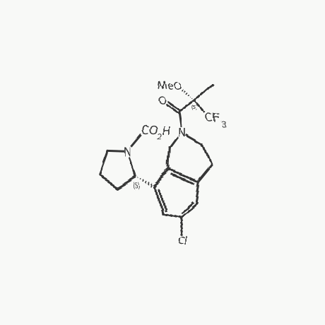 CO[C@@](C)(C(=O)N1CCc2cc(Cl)cc([C@@H]3CCCN3C(=O)O)c2C1)C(F)(F)F